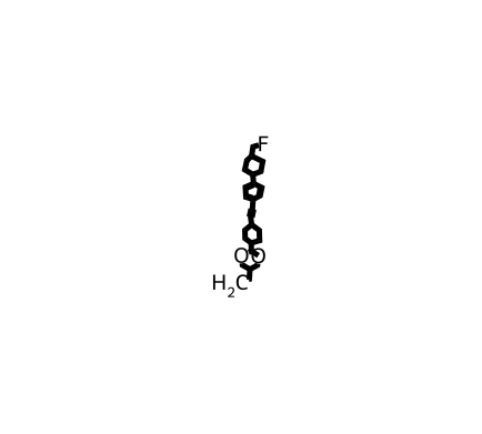 C=CC1COC(C2CCC(C#Cc3ccc(C4CCC(CF)CC4)cc3)CC2)OC1